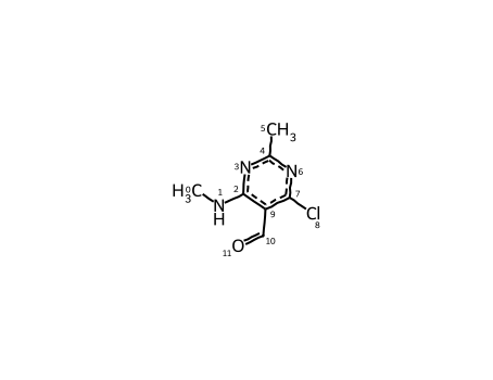 CNc1nc(C)nc(Cl)c1C=O